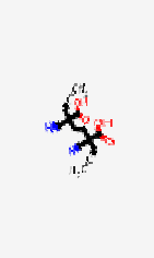 C=C=CC(C#N)(CCC(C#N)(C=C=C)C(=O)O)C(=O)O